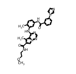 COCCNC(=O)c1cn2ncnc(Nc3cc(NC(=O)c4cccc(-n5ccnc5)c4)ccc3C)c2c1C